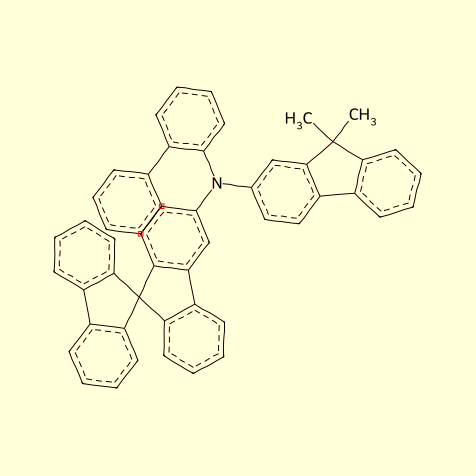 CC1(C)c2ccccc2-c2ccc(N(c3ccc4c(c3)-c3ccccc3C43c4ccccc4-c4ccccc43)c3ccccc3-c3ccccc3)cc21